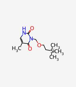 Cc1c[nH]c(=O)n(COCC[Si](C)(C)C)c1=O